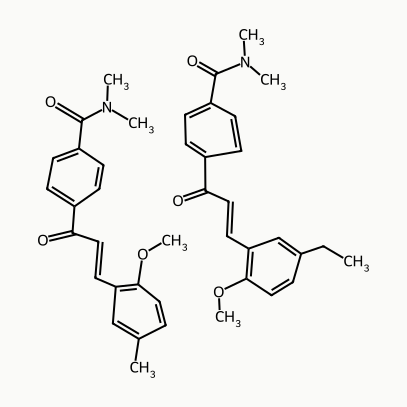 CCc1ccc(OC)c(C=CC(=O)c2ccc(C(=O)N(C)C)cc2)c1.COc1ccc(C)cc1C=CC(=O)c1ccc(C(=O)N(C)C)cc1